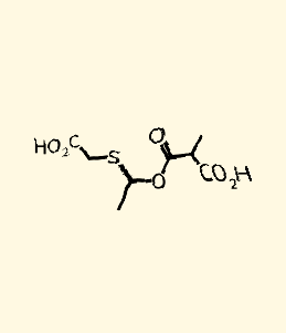 CC(OC(=O)C(C)C(=O)O)SCC(=O)O